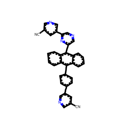 N#Cc1cncc(-c2ccc(-c3c4ccccc4c(-c4cncc(-c5cncc(C#N)c5)n4)c4ccccc34)cc2)c1